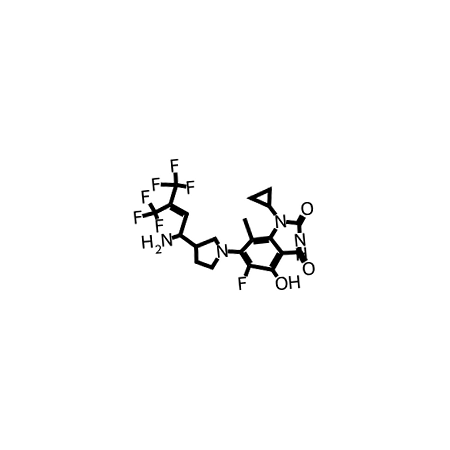 Cc1c(N2CCC(C(N)C=C(C(F)(F)F)C(F)(F)F)C2)c(F)c(O)c2c(=O)[nH]c(=O)n(C3CC3)c12